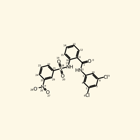 O=C(Nc1cc(Cl)cc(Cl)c1)c1ccccc1NS(=O)(=O)c1cccc([N+](=O)[O-])c1